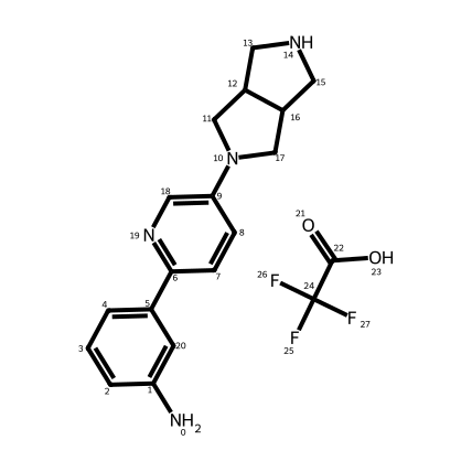 Nc1cccc(-c2ccc(N3CC4CNCC4C3)cn2)c1.O=C(O)C(F)(F)F